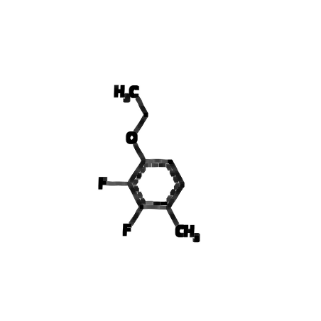 CCOc1ccc(C)c(F)c1F